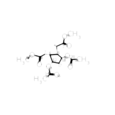 COC(=O)C[C@@H]1[C@@H](CC(=O)OC)[C@H](OC(C)=O)C[C@@H]1OC(C)=O